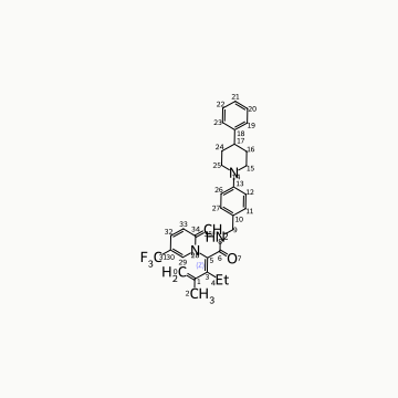 C=C(C)/C(CC)=C(/C(=O)NCc1ccc(N2CCC(c3ccccc3)CC2)cc1)N1C=C(C(F)(F)F)C=CC1=C